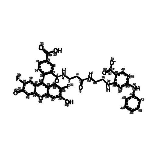 O=C(CCNC(=O)c1cc(C(=O)O)ccc1-c1c2cc(F)c(=O)cc-2oc2cc(O)c(F)cc12)NCCNc1nc(Nc2ccccc2)ncc1[N+](=O)[O-]